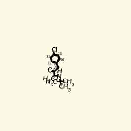 CC(NC(C)(C)C)C(=O)Cc1ccc(Cl)cc1